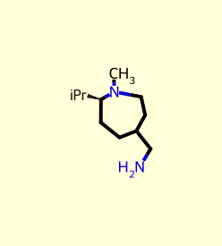 CC(C)[C@@H]1CCC(CN)CCN1C